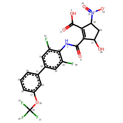 O=C(O)C1=C(C(=O)Nc2c(F)cc(-c3cccc(OC(F)(F)F)c3)cc2F)C(O)CC1[N+](=O)[O-]